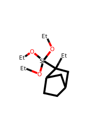 CCO[Si](OCC)(OCC)C1(CC)CC2CCC1C2